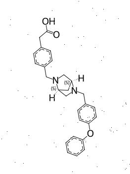 O=C(O)Cc1ccc(CN2C[C@@H]3C[C@H]2CN3Cc2ccc(Oc3ccccc3)cc2)cc1